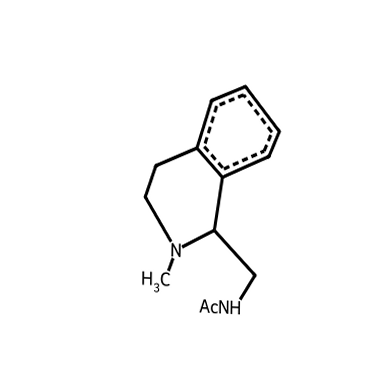 CC(=O)NCC1c2ccccc2CCN1C